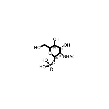 CC(=O)N[C@H]1[C@@H](OP(=O)(O)O)OC(CO)[C@@H](O)[C@@H]1O